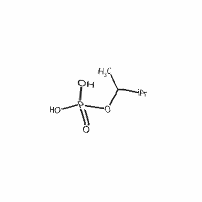 CC(C)C(C)OP(=O)(O)O